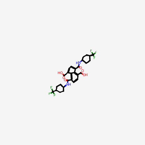 O=C(O)c1ccc(C(=O)NC2CCC(C(F)(F)F)CC2)c2c(C(=O)O)ccc(C(=O)NC3CCC(C(F)(F)F)CC3)c12